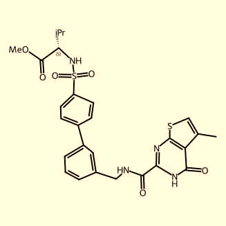 COC(=O)[C@@H](NS(=O)(=O)c1ccc(-c2cccc(CNC(=O)c3nc4scc(C)c4c(=O)[nH]3)c2)cc1)C(C)C